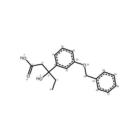 CCC(O)(CC(=O)O)c1cccc(OCc2ccccc2)c1